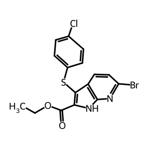 CCOC(=O)c1[nH]c2nc(Br)ccc2c1Sc1ccc(Cl)cc1